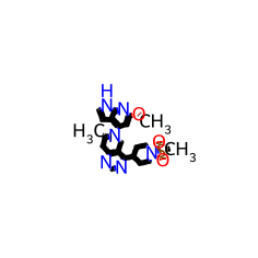 COc1cc(N2Cc3c(ncnc3C3CCN(S(C)(=O)=O)CC3)C[C@H]2C)c2cc[nH]c2n1